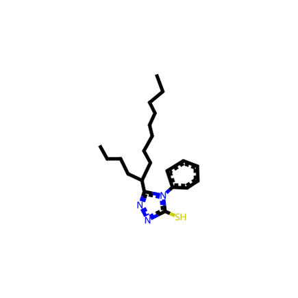 CCCCCCCCC(CCCC)c1nnc(S)n1-c1ccccc1